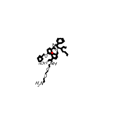 C=C/C(=C\C=C/C)c1c(C2=CC=CCC2)nc(-c2ccc(OCc3ccccc3)cc2)n1Cc1ccc(C(=CCCCCCCCC)NCCOCCOCCN)cc1